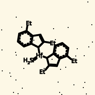 CCC1=Cc2c(CC)cccc2[CH]1[Hf](=[SiH2])[CH]1C(CC)=Cc2c(CC)cccc21